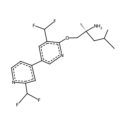 CC(C)C[C@](C)(N)COc1ncc(-c2ccnc(C(F)F)c2)cc1C(F)F